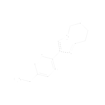 NCc1ccc(-c2cn3c(n2)CCCC3)cc1